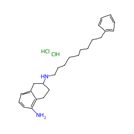 Cl.Cl.Nc1cccc2c1CCC(NCCCCCCCCCc1ccccc1)C2